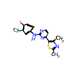 Cc1nc(C)c(-c2ccnc(Nc3ccc(I)c(Cl)c3)n2)s1